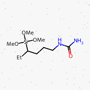 CCC(CCCNC(N)=O)[Si](OC)(OC)OC